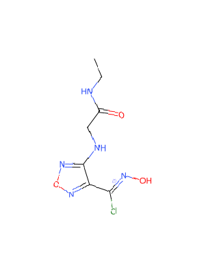 CCNC(=O)CNc1nonc1/C(Cl)=N/O